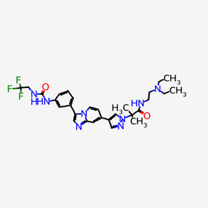 CCN(CC)CCNC(=O)C(C)(C)n1cc(-c2ccn3c(-c4cccc(NC(=O)NCC(F)(F)F)c4)cnc3c2)cn1